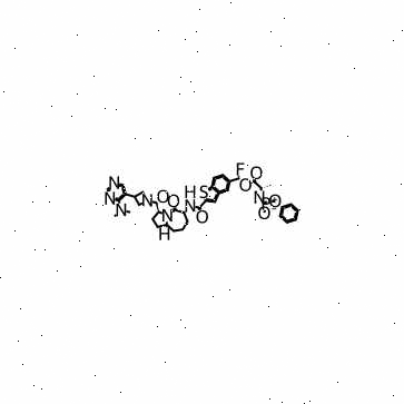 C[C@H](N=[P+]([O-])Oc1ccccc1)C(=O)O[C@@H](F)c1ccc2sc(C(=O)N[C@H]3CCC[C@H]4CC[C@@H](C(=O)N5CC(c6cncnc6N(C)C)C5)N4C3=O)cc2c1